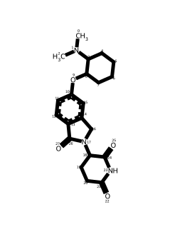 CN(C)C1CCCCC1Oc1ccc2c(c1)CN(C1CCC(=O)NC1=O)C2=O